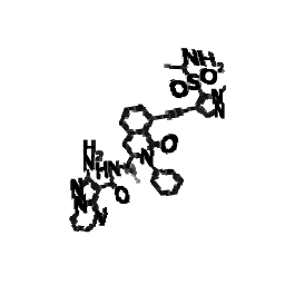 CC(N)S(=O)(=O)c1c(C#Cc2cccc3cc([C@H](C)NC(=O)c4c(N)nn5cccnc45)n(-c4ccccc4)c(=O)c23)cnn1C